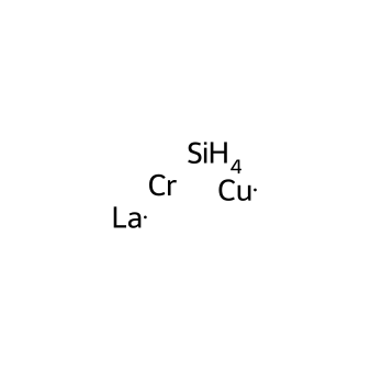 [Cr].[Cu].[La].[SiH4]